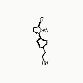 O=C1CCN(c2ccc(CCO)cc2)N1